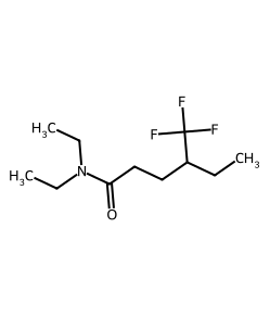 CCC(CCC(=O)N(CC)CC)C(F)(F)F